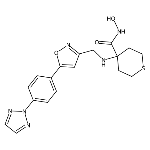 O=C(NO)C1(NCc2cc(-c3ccc(-n4nccn4)cc3)on2)CCSCC1